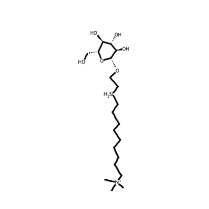 C[N+](C)(C)CCCCCCCCC[SiH2]CCO[C@@H]1O[C@H](CO)[C@@H](O)[C@H](O)[C@H]1O